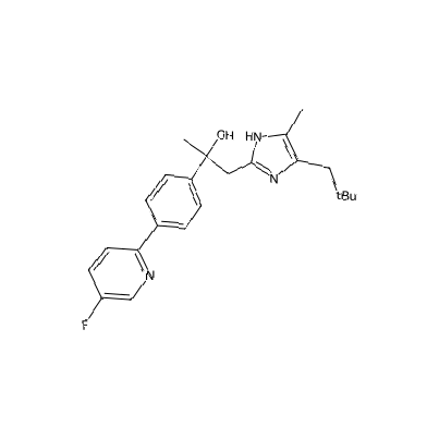 Cc1[nH]c(CC(C)(O)c2ccc(-c3ccc(F)cn3)cc2)nc1CC(C)(C)C